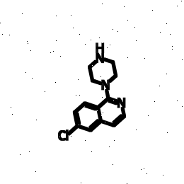 Clc1ccc2c(N3CCNCC3)nccc2c1